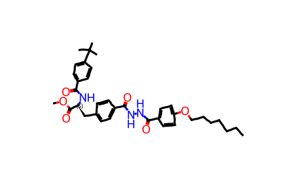 CCCCCCCOc1ccc(C(=O)NNC(=O)c2ccc(C[C@H](NC(=O)c3ccc(C(C)(C)C)cc3)C(=O)OC)cc2)cc1